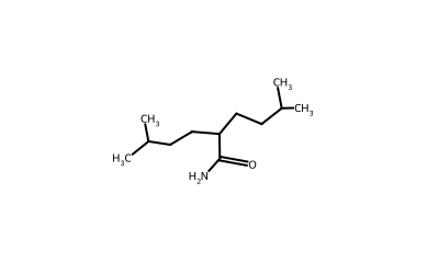 CC(C)CCC(CCC(C)C)C(N)=O